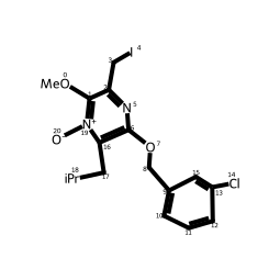 COc1c(CI)nc(OCc2cccc(Cl)c2)c(CC(C)C)[n+]1[O-]